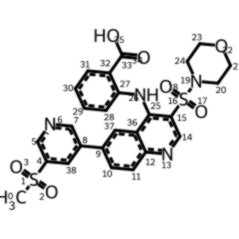 CS(=O)(=O)c1cncc(-c2ccc3ncc(S(=O)(=O)N4CCOCC4)c(Nc4ccccc4C(=O)O)c3c2)c1